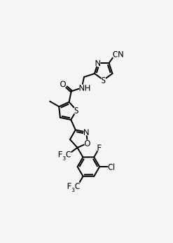 Cc1cc(C2=NOC(c3cc(C(F)(F)F)cc(Cl)c3F)(C(F)(F)F)C2)sc1C(=O)NCc1nc(C#N)cs1